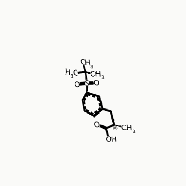 C[C@H](Cc1cccc(S(=O)(=O)C(C)(C)C)c1)C(=O)O